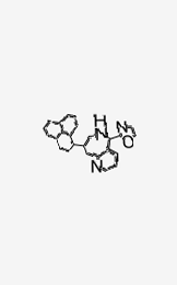 C1=CC(C2=CNC(c3ncco3)=c3cccnc3=C2)c2cccc3cccc1c23